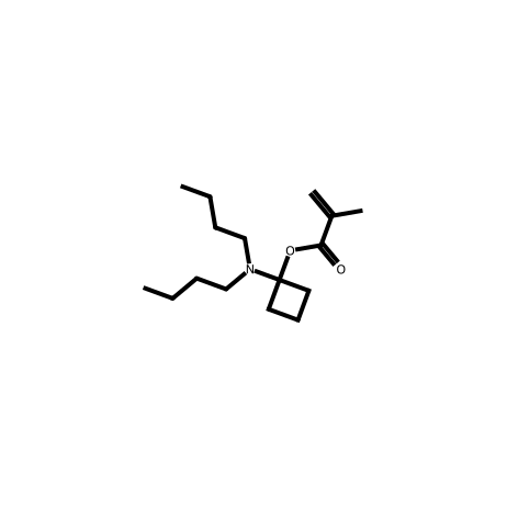 C=C(C)C(=O)OC1(N(CCCC)CCCC)CCC1